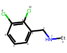 CCNCc1cccc(Cl)c1Cl